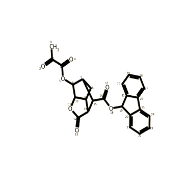 CC(=O)C(=O)OC1C2CC3C1OC(=O)C3C2C(=O)OC1c2ccccc2-c2ccccc21